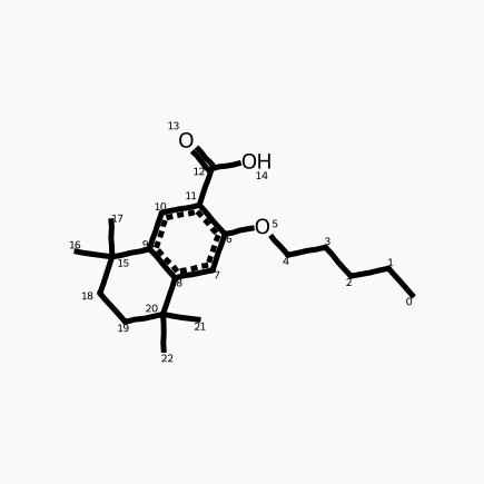 CCCCCOc1cc2c(cc1C(=O)O)C(C)(C)CCC2(C)C